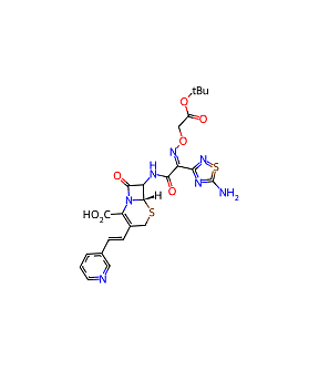 CC(C)(C)OC(=O)CON=C(C(=O)NC1C(=O)N2C(C(=O)O)=C(C=Cc3cccnc3)CS[C@@H]12)c1nsc(N)n1